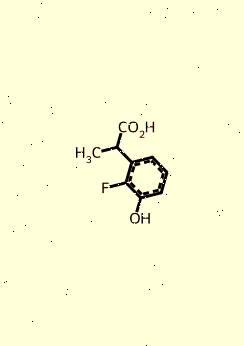 CC(C(=O)O)c1cccc(O)c1F